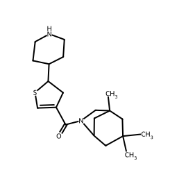 CC1(C)CC2CC(C)(CN2C(=O)C2=CSC(C3CCNCC3)C2)C1